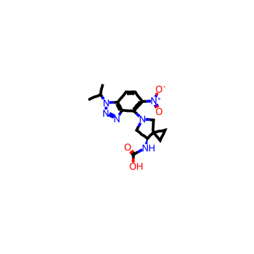 CC(C)n1nnc2c(N3C[C@H](NC(=O)O)C4(CC4)C3)c([N+](=O)[O-])ccc21